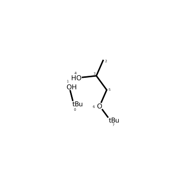 CC(C)(C)O.CC(O)COC(C)(C)C